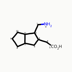 NCC1C(CC(=O)O)CC2CCCC21